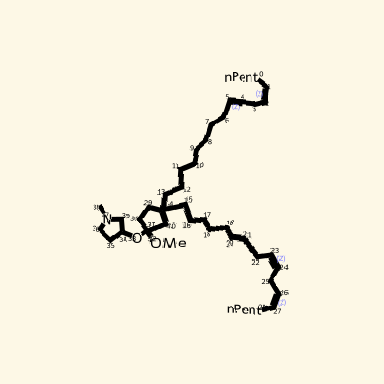 CCCCC/C=C\C/C=C\CCCCCCCCC1(CCCCCCCC/C=C\C/C=C\CCCCC)CCC(OC)(OC2CCN(C)C2)C1